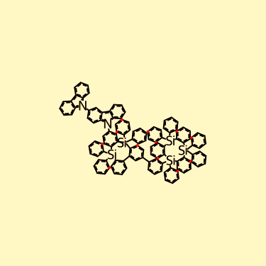 c1ccc([Si]2(c3ccccc3)c3ccccc3-c3cc(-c4cccc([Si]5(c6ccccc6)c6ccccc6[Si](c6ccccc6)(c6ccccc6)c6ccccc6[Si](c6ccccc6)(c6ccccc6)c6ccccc65)c4)ccc3[Si](c3ccccc3)(c3ccccc3)c3cc(-n4c5ccccc5c5cc(-n6c7ccccc7c7ccccc76)ccc54)ccc32)cc1